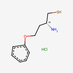 Cl.N[C@@H](CS)CCOc1ccccc1